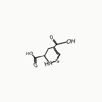 O=C(O)C1=CSNC(C(=O)O)C1